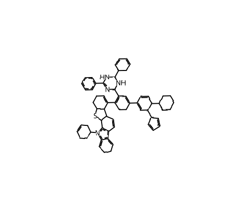 C1=CCC(C2NC(c3ccccc3)=NC(C3=C(C4=CCCC5SC6c7c(c8c(n7C7CC=CCC7)=CCCC=8)C=CC6C45)CCC(C4=CC(C5C=CC=C5)C(C5CCCCC5)C=C4)=C3)N2)C=C1